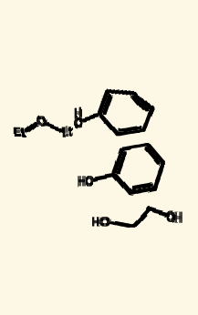 CCOCC.OCCO.Oc1ccccc1.Oc1ccccc1